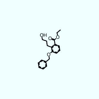 CCOC(=O)c1cccc(OCc2ccccc2)c1CCCO